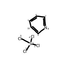 Cl[Si](Cl)(Cl)Cl.c1ccncc1